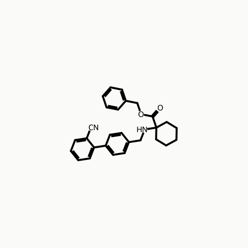 N#Cc1ccccc1-c1ccc(CNC2(C(=O)OCc3ccccc3)CCCCC2)cc1